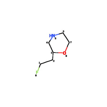 FCCC1CNCCO1